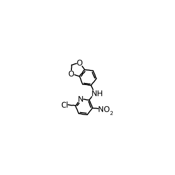 O=[N+]([O-])c1ccc(Cl)nc1Nc1ccc2c(c1)OCO2